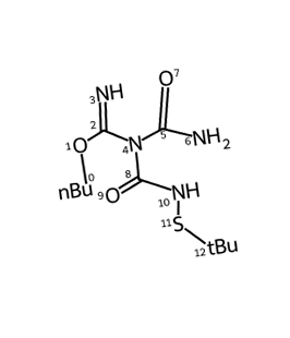 CCCCOC(=N)N(C(N)=O)C(=O)NSC(C)(C)C